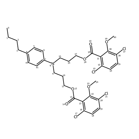 CCCCc1ccc(N(CCCOC(=O)c2c(Cl)ccc(Cl)c2OC)CCCOC(=O)c2c(Cl)ccc(Cl)c2OC)cc1